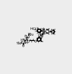 Cc1cc(OCCCON(C(=N)NC(=O)OC(C)(C)C)C(=O)OC(C)(C)C)cc(OS(=O)(=O)c2ccccc2S(=O)(=O)N2CCN(c3ncccn3)CC2)c1.Cl